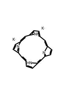 C1=Cc2cc3ccc(cc4nc(cc5ccc(cc1n2)[nH]5)C=C4)[nH]3.[K].[K]